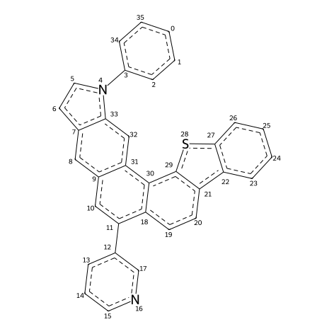 c1ccc(-n2ccc3cc4cc(-c5cccnc5)c5ccc6c7ccccc7sc6c5c4cc32)cc1